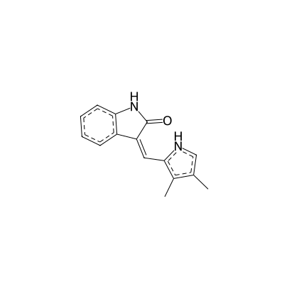 Cc1c[nH]c(C=C2C(=O)Nc3ccccc32)c1C